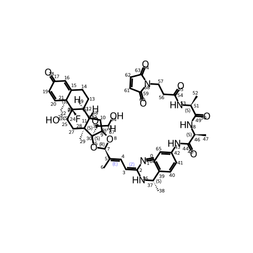 C=N/C(=C\C=C(/C)[C@@H]1O[C@@H]2C[C@H]3[C@@H]4CCC5=CC(=O)C=C[C@]5(C)[C@@]4(F)[C@@H](O)C[C@]3(C)[C@]2(C(=O)CO)O1)N[C@@H](C)c1ccc(NC(=O)[C@H](C)NC(=O)[C@H](C)NC(=O)CCN2C(=O)C=CC2=O)cc1